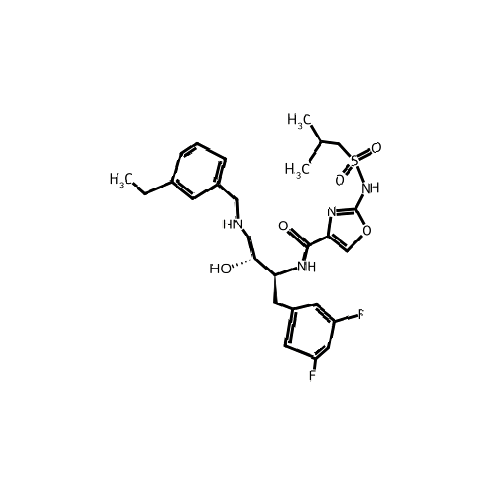 CCc1cccc(CNC[C@@H](O)[C@H](Cc2cc(F)cc(F)c2)NC(=O)c2coc(NS(=O)(=O)CC(C)C)n2)c1